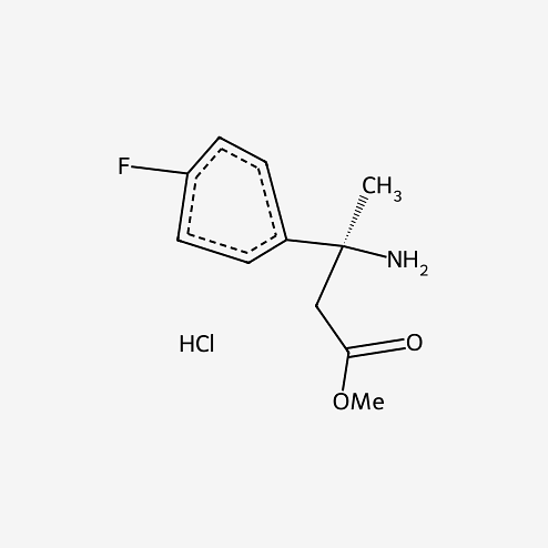 COC(=O)C[C@](C)(N)c1ccc(F)cc1.Cl